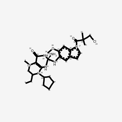 CCC1CN(C)C2=C(N[C@@](N)(Nc3cc4ccn(C(=O)C(C)(C)CCl)c4cc3OC)NC2=O)N1C1CCCC1